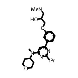 CNCC(O)COc1cccc(-c2cc(N(C)C3CCOCC3)nc(C(C)C)n2)c1